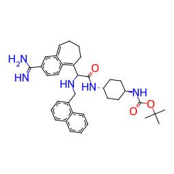 CC(C)(C)OC(=O)N[C@H]1CC[C@H](NC(=O)C(NCc2cccc3ccccc23)C2=c3ccc(C(=N)N)cc3=CCCC2)CC1